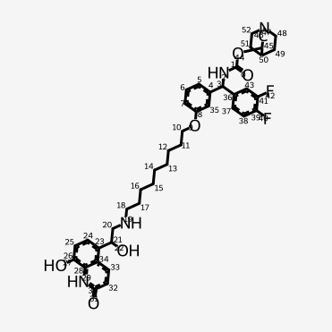 O=C(NC(c1cccc(OCCCCCCCCCNCC(O)c2ccc(O)c3[nH]c(=O)ccc23)c1)c1ccc(F)c(F)c1)OC1CN2CCC1CC2